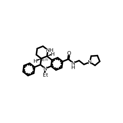 CCN1c2ccc(C(=O)NCCN3CCCC3)cc2[C@H]2NCCC[C@H]2C1c1ccccc1